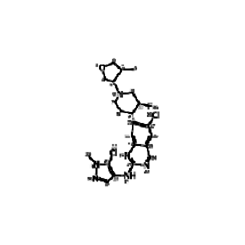 C[C@@H]1COC[C@@H]1N1CC[C@@H](c2cc3nc(Nc4cnn(C)c4Cl)ncc3cc2Cl)[C@H](F)C1